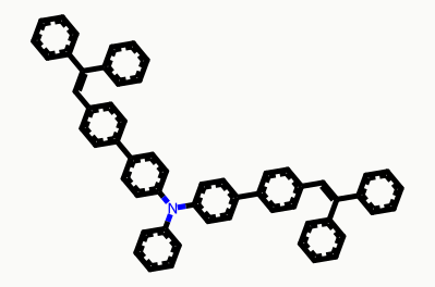 C(=C(c1ccccc1)c1ccccc1)c1ccc(-c2ccc(N(c3ccccc3)c3ccc(-c4ccc(C=C(c5ccccc5)c5ccccc5)cc4)cc3)cc2)cc1